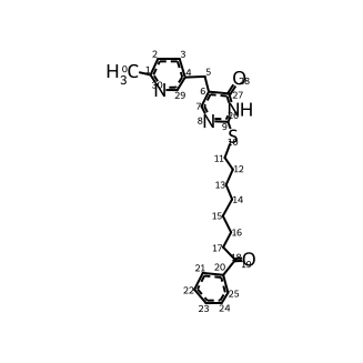 Cc1ccc(Cc2cnc(SCCCCCCCC(=O)c3ccccc3)[nH]c2=O)cn1